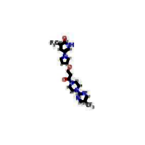 O=C(CCO[C@@H]1CCN(c2c[nH]c(=O)c(C(F)(F)F)c2)C1)N1CCN(c2ncc(C(F)(F)F)cn2)CC1